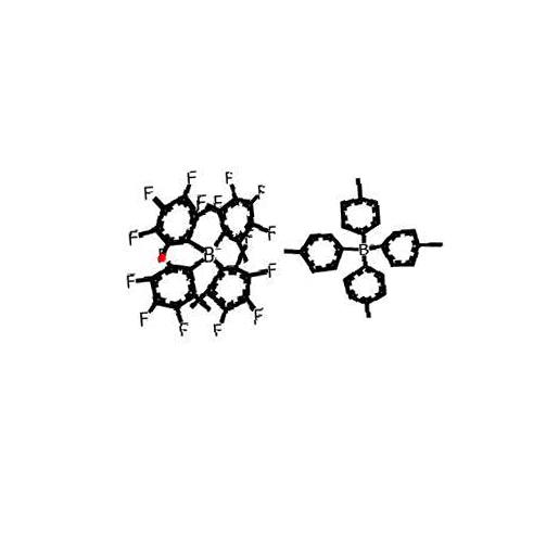 Cc1c(F)c(F)c(F)c(F)c1[B-](c1c(C)c(F)c(F)c(F)c1F)(c1c(C)c(F)c(F)c(F)c1F)c1c(C)c(F)c(F)c(F)c1F.Cc1ccc([B-](c2ccc(C)cc2)(c2ccc(C)cc2)c2ccc(C)cc2)cc1